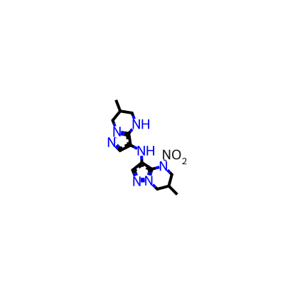 CC1CNc2c(Nc3cnn4c3N([N+](=O)[O-])CC(C)C4)cnn2C1